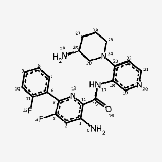 Nc1cc(F)c(-c2ccccc2F)nc1C(=O)Nc1cnccc1N1CCC[C@H](N)C1